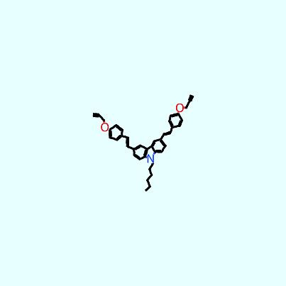 C#CCOc1ccc(C=Cc2ccc3c(c2)c2cc(C=Cc4ccc(OCC#C)cc4)ccc2n3CCCCCC)cc1